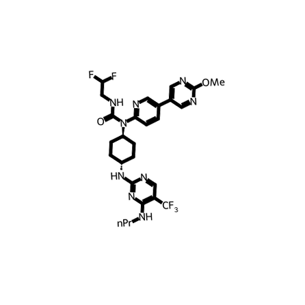 CCCNc1nc(N[C@H]2CC[C@H](N(C(=O)NCC(F)F)c3ccc(-c4cnc(OC)nc4)cn3)CC2)ncc1C(F)(F)F